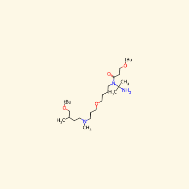 CC(CCN(C)CCCOCCCCN(C(=O)CCOC(C)(C)C)C(C)(C)N)COC(C)(C)C